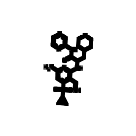 N=Cc1c(S(=O)(=O)C2CC2)cc(N)nc1NC(CC1CCOCC1)C(=O)Nc1cnccn1